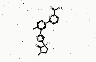 Cc1ccc(-c2cccc(C(N)=O)n2)cc1-c1cc([C@]2(O)CCN(C)C2=O)on1